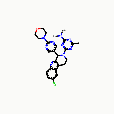 CCCCN(CCCC)c1nc(C)nc(N2CCc3c([nH]c4ccc(Cl)cc34)C2c2cnc(N3CCOCC3)nc2)n1